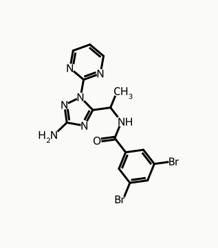 CC(NC(=O)c1cc(Br)cc(Br)c1)c1nc(N)nn1-c1ncccn1